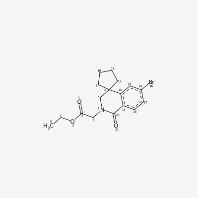 CCOC(=O)CN1CC2(CCCC2)c2cc(Br)ccc2C1=O